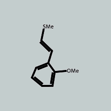 COc1ccccc1C=CSC